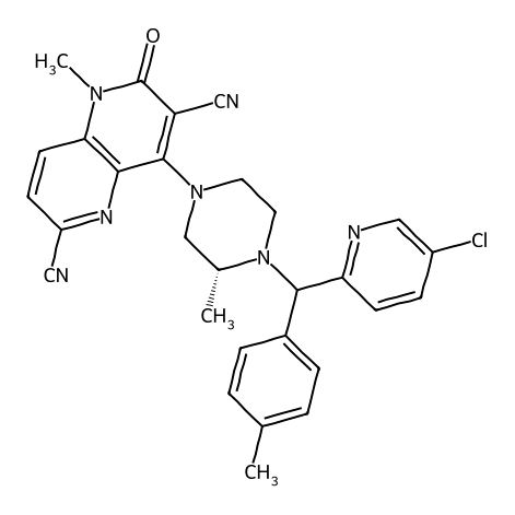 Cc1ccc(C(c2ccc(Cl)cn2)N2CCN(c3c(C#N)c(=O)n(C)c4ccc(C#N)nc34)C[C@H]2C)cc1